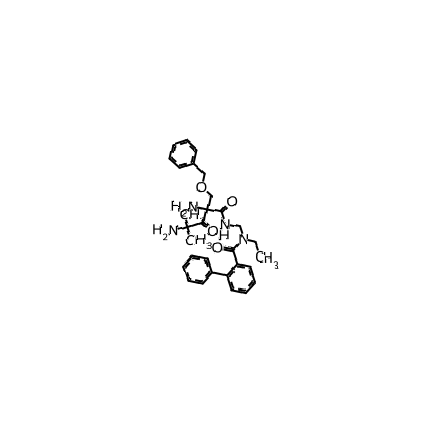 CCN(CNC(=O)C(N)(COCc1ccccc1)C(=O)C(C)(C)N)C(=O)c1ccccc1-c1ccccc1